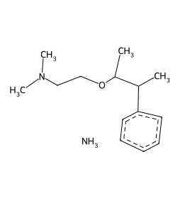 CC(OCCN(C)C)C(C)c1ccccc1.N